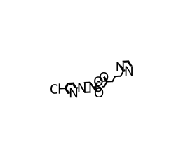 O=C(CCCc1ncccn1)CS(=O)(=O)N1CCN(c2ccc(Cl)cn2)CC1